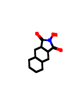 O=C1C2CC3CCCCC3CC2C(=O)N1O